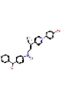 C=C/C(=C\CN(C)c1ccc(C(=O)c2ccccc2)cc1)c1cc[n+](-c2ccc(O)cc2)cc1